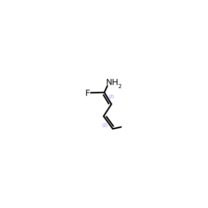 C/C=C\C=C(\N)F